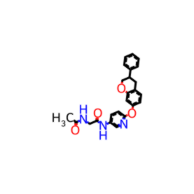 CC(=O)NCC(=O)Nc1ccc(Oc2ccc3c(c2)OCC(c2ccccc2)C3)nc1